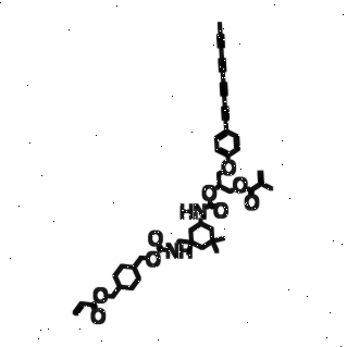 C=CC(=O)OCC1CCC(COC(=O)NCC2(C)CC(NC(=O)OC(COC(=O)C(=C)C)COc3ccc(C#CC#CC#CC#CC)cc3)CC(C)(C)C2)CC1